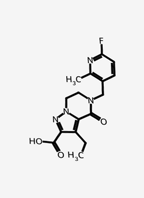 CCc1c(C(=O)O)nn2c1C(=O)N(Cc1ccc(F)nc1C)CC2